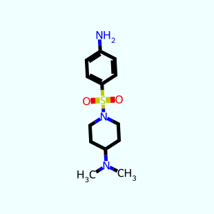 CN(C)C1CCN(S(=O)(=O)c2ccc(N)cc2)CC1